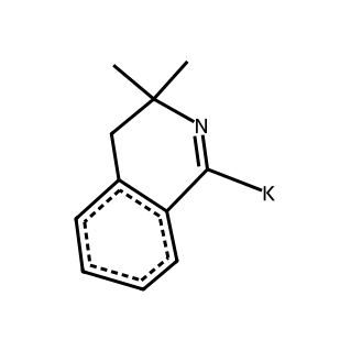 CC1(C)Cc2ccccc2[C]([K])=N1